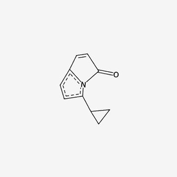 O=C1C=Cc2ccc(C3CC3)n21